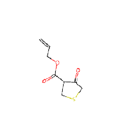 C=CCOC(=O)C1CSCC1=O